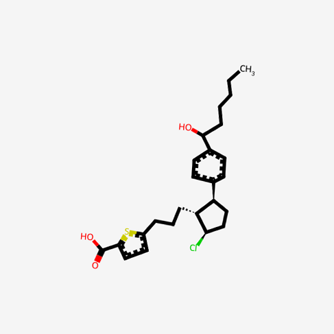 CCCCCC(O)c1ccc([C@H]2CC[C@@H](Cl)[C@@H]2CCCc2ccc(C(=O)O)s2)cc1